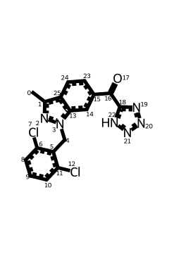 Cc1nn(Cc2c(Cl)cccc2Cl)c2cc(C(=O)c3nnn[nH]3)ccc12